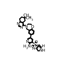 CC1(C)CCc2ncnc(N3CCOc4ccc(-c5cnc(N)c(S(=O)(=O)N6C[C@@H]7C[C@H]6CN7)c5)cc4C3)c2C1